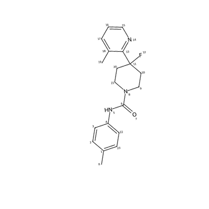 Cc1ccc(NC(=O)N2CCC(F)(c3ncccc3C)CC2)cc1